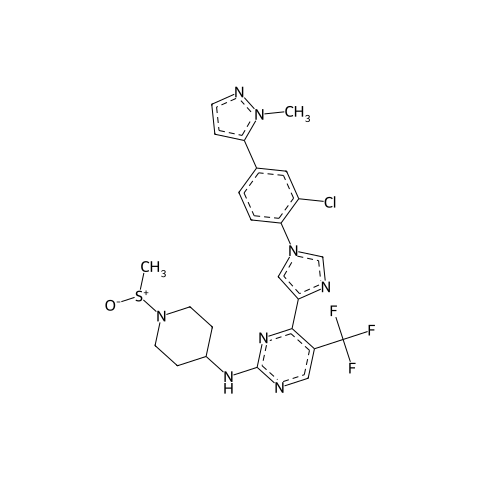 Cn1nccc1-c1ccc(-n2cnc(-c3nc(NC4CCN([S+](C)[O-])CC4)ncc3C(F)(F)F)c2)c(Cl)c1